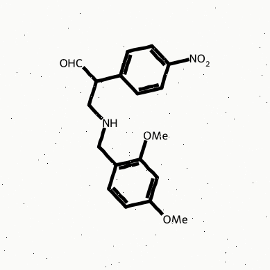 COc1ccc(CNCC(C=O)c2ccc([N+](=O)[O-])cc2)c(OC)c1